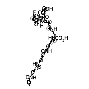 Cc1ccc(C(=O)NCCOCCOCC(=O)NCCOCCOCC(=O)NCCOCCOCC(=O)N[C@@H](CCCCNC(=O)CCC(=O)C2C[C@H](NC(=O)c3cc4c(c(C(F)(F)F)c3)COB4O)[C@@H](NC(=O)c3cc4c(c(C(F)(F)F)c3)COB4O)C2)C(=O)O)cc1